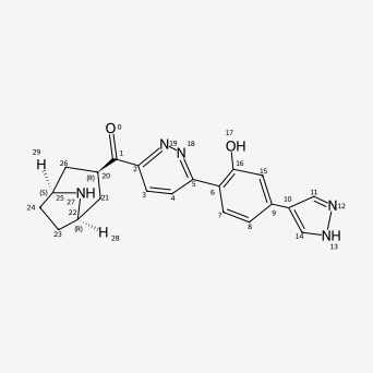 O=C(c1ccc(-c2ccc(-c3cn[nH]c3)cc2O)nn1)[C@H]1C[C@H]2CC[C@@H](C1)N2